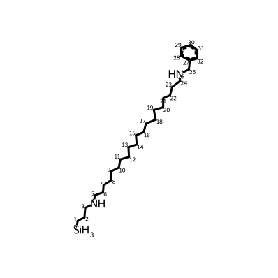 [SiH3]CCCNCCCCCCCCCCCCCCCCCCCCNCc1ccccc1